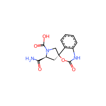 NC(=O)[C@@H]1C[C@@]2(CN1C(=O)O)OC(=O)Nc1ccccc12